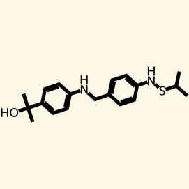 CC(C)SNc1ccc(CNc2ccc(C(C)(C)O)cc2)cc1